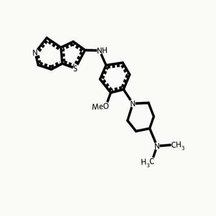 COc1cc(Nc2cc3cnccc3s2)ccc1N1CCC(N(C)C)CC1